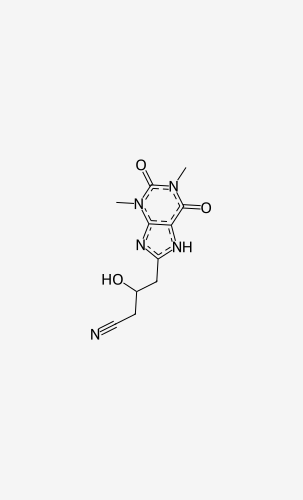 Cn1c(=O)c2[nH]c(CC(O)CC#N)nc2n(C)c1=O